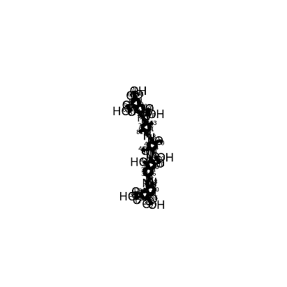 COc1cc(N=Nc2c(S(=O)(=O)O)cc3cc(-n4nc5ccc6c(S(=O)(=O)O)cc(S(=O)(=O)O)cc6c5n4)ccc3c2O)c(OC)cc1N=Nc1cc(C)c(N=Nc2cc3c(S(=O)(=O)O)cc(S(=O)(=O)O)cc3cc2S(=O)(=O)O)cc1C